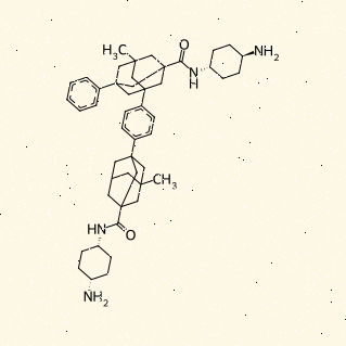 CC12CC3CC(C(=O)N[C@H]4CC[C@@H](N)CC4)(C1)CC(c1ccc(C45CC6(C)CC(C(=O)N[C@H]7CC[C@H](N)CC7)(CC(c7ccccc7)(C6)C4)C5)cc1)(C3)C2